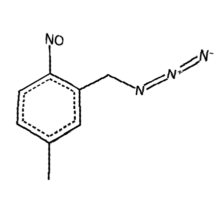 Cc1ccc(N=O)c(CN=[N+]=[N-])c1